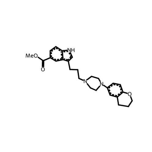 COC(=O)c1ccc2[nH]cc(CCCN3CCN(c4ccc5c(c4)CCCO5)CC3)c2c1